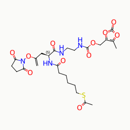 C=C(C[C@H](NC(=O)CCCCCSC(C)=O)C(=O)NCCNC(=O)OCc1oc(=O)oc1C)ON1C(=O)CCC1=O